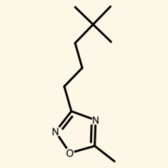 Cc1nc(CCCC(C)(C)C)no1